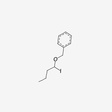 CCCC(I)OCc1ccccc1